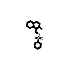 Cc1ccc2ccccc2c1/C=N/S(=O)(=O)c1ccccc1